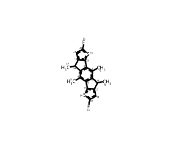 Cc1c2c(c(C)c3c1C(C)c1cc(F)sc1-3)C(C)c1cc(F)sc1-2